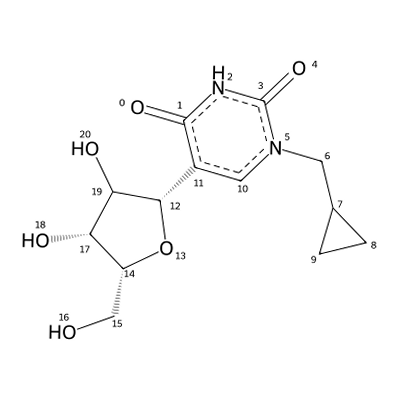 O=c1[nH]c(=O)n(CC2CC2)cc1[C@@H]1O[C@H](CO)[C@H](O)C1O